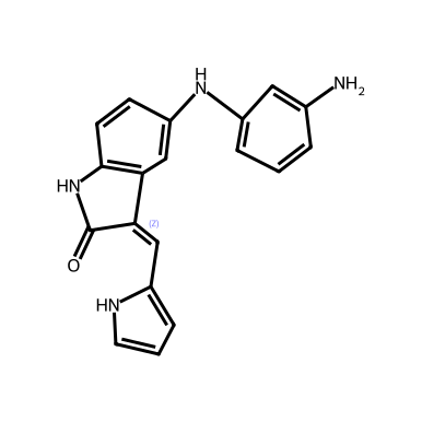 Nc1cccc(Nc2ccc3c(c2)/C(=C/c2ccc[nH]2)C(=O)N3)c1